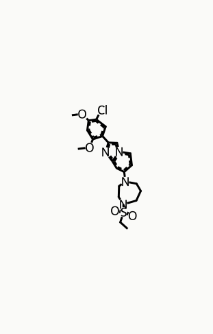 CCS(=O)(=O)N1CCCN(c2ccn3cc(-c4cc(Cl)c(OC)cc4OC)nc3c2)CC1